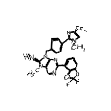 Cn1cc(C(F)(F)F)nc1-c1ccc(Cn2c(=N)n(C)c3cnc(-c4cccc5c4OC(F)(F)O5)nc32)cc1